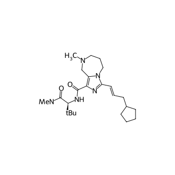 CNC(=O)[C@@H](NC(=O)c1nc(/C=C/CC2CCCC2)n2c1CN(C)CCC2)C(C)(C)C